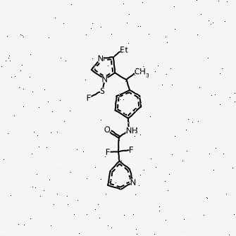 CCc1ncn(SF)c1C(C)c1ccc(NC(=O)C(F)(F)c2cccnc2)cc1